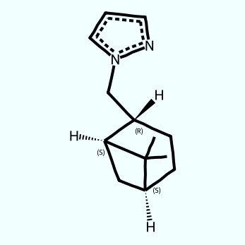 CC1(C)[C@H]2CC[C@@H](Cn3cccn3)[C@@H]1C2